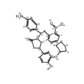 COc1ccc(C2CC(=O)N(C(Cc3ccccc3[N+](=O)[O-])c3ccc(N)cc3)C2)cc1OC1CCCC1